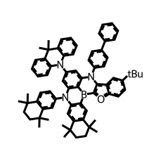 CC(C)(C)c1ccc2oc3c(c2c1)N(c1ccc(-c2ccccc2)cc1)c1cc(N2c4ccccc4C(C)(C)c4ccccc42)cc2c1B3c1cc3c(cc1N2c1ccc2c(c1)C(C)(C)CCC2(C)C)C(C)(C)CCC3(C)C